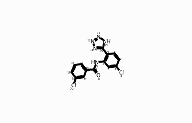 O=C(Nc1cc(Cl)ccc1-c1nnn[nH]1)c1cccc(Cl)c1